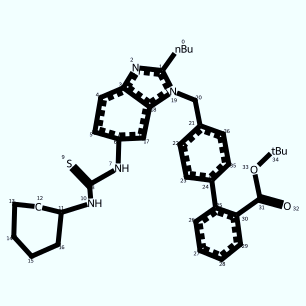 CCCCc1nc2ccc(NC(=S)NC3CCCCC3)cc2n1Cc1ccc(-c2ccccc2C(=O)OC(C)(C)C)cc1